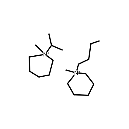 CC(C)[N+]1(C)CCCCC1.CCCC[N+]1(C)CCCCC1